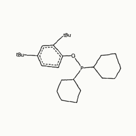 CC(C)(C)c1ccc(OP(C2CCCCC2)C2CCCCC2)c(C(C)(C)C)c1